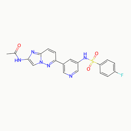 CC(=O)Nc1cn2nc(-c3cncc(NS(=O)(=O)c4ccc(F)cc4)c3)ccc2n1